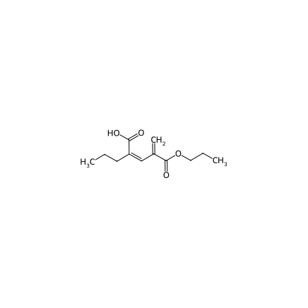 C=C(C=C(CCC)C(=O)O)C(=O)OCCC